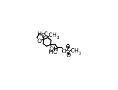 CC1(C)CC(O)(CC(O)COS(C)(=O)=O)CCC12OCCO2